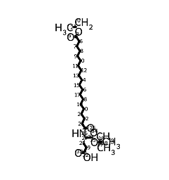 C=C(C)OC(=O)CCCCCCCCCCCCCCCCCCC(=O)N[C@@H](CCC(=O)O)C(=O)OC(C)(C)C